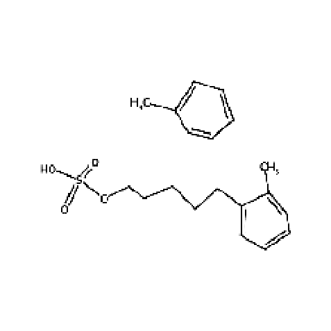 Cc1ccccc1.Cc1ccccc1CCCCCOS(=O)(=O)O